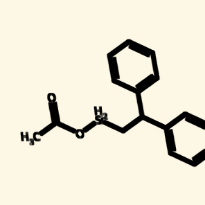 CC(=O)O[SiH2]CC(c1ccccc1)c1ccccc1